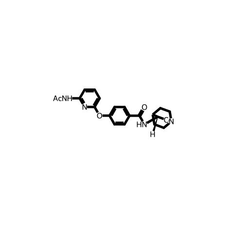 CC(=O)Nc1cccc(Oc2ccc(C(=O)N[C@H]3CN4CCC3CC4)cc2)n1